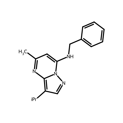 Cc1cc(NCc2ccccc2)n2ncc(C(C)C)c2n1